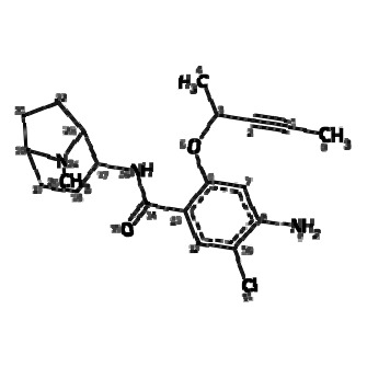 CC#CC(C)Oc1cc(N)c(Cl)cc1C(=O)NC1CCC2CCC1N2C